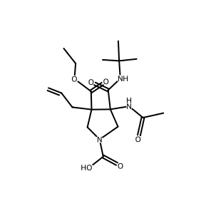 C=CCC1(C(=O)OCC)CN(C(=O)O)CC1(NC(C)=O)C(=O)NC(C)(C)C